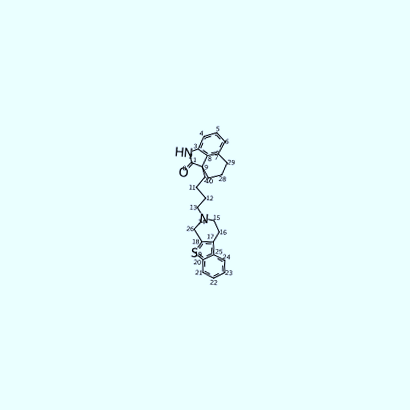 O=C1Nc2cccc3c2C1(CCCCN1CCc2c(sc4ccccc24)C1)CCC3